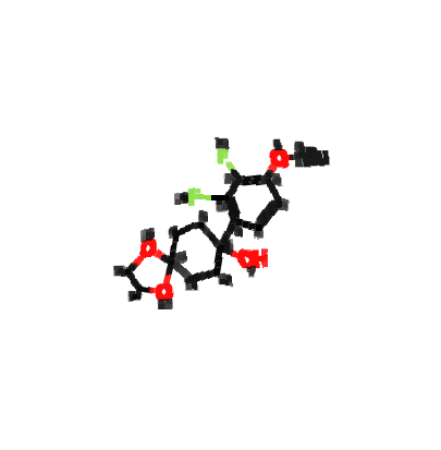 CCCCOc1ccc(C2(O)CCC3(CC2)OCCO3)c(F)c1F